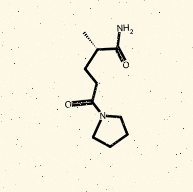 C[C@@H](C[CH]C(=O)N1CCCC1)C(N)=O